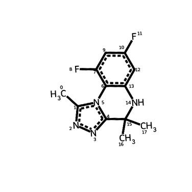 Cc1nnc2n1-c1c(F)cc(F)cc1NC2(C)C